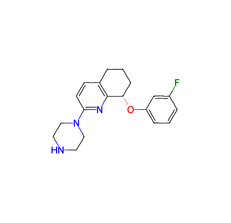 Fc1cccc(O[C@H]2CCCc3ccc(N4CCNCC4)nc32)c1